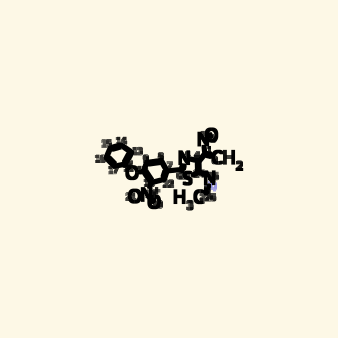 C=C(N=O)c1nc(-c2ccc(Oc3ccccc3)c([N+](=O)[O-])c2)sc1/N=C\C